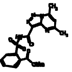 COC(=O)c1ccccc1S(=O)(=O)NC(=O)c1nnn2c(C)cc(C)nc12